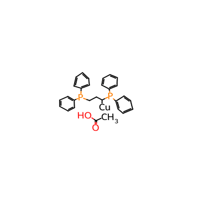 CC(=O)O.[Cu][CH](CCP(c1ccccc1)c1ccccc1)P(c1ccccc1)c1ccccc1